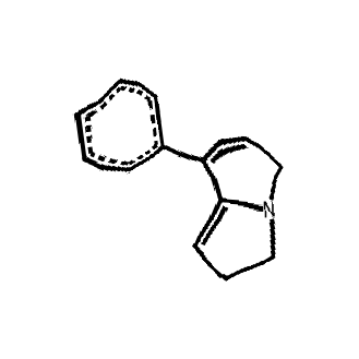 [c]1ccccc1C1=CCN2CCC=C12